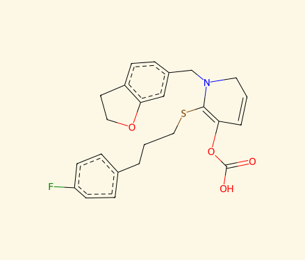 O=C(O)OC1=C(SCCCc2ccc(F)cc2)N(Cc2ccc3c(c2)OCC3)CC=C1